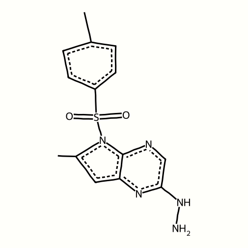 Cc1ccc(S(=O)(=O)n2c(C)cc3nc(NN)cnc32)cc1